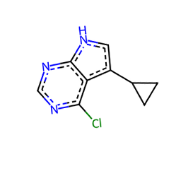 Clc1ncnc2[nH]cc(C3CC3)c12